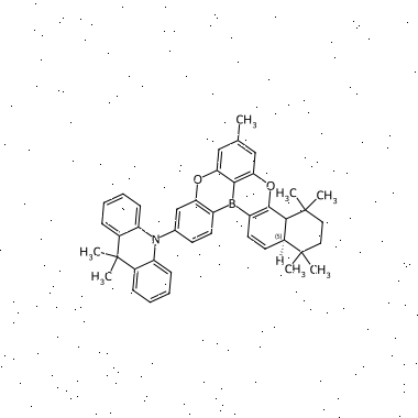 Cc1cc2c3c(c1)Oc1cc(N4c5ccccc5C(C)(C)c5ccccc54)ccc1B3C1=C(O2)C2[C@H](C=C1)C(C)(C)CCC2(C)C